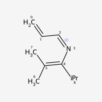 C=C/C=N\C(=C(C)C)C(C)C